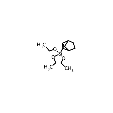 CCO[Si](OCC)(OCC)C1=CC2CCC1C2